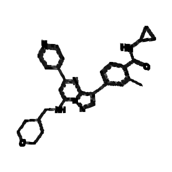 Cc1cc(-c2cnn3c(NCC4CCOCC4)cc(-c4ccncc4)nc23)ccc1C(=O)NC1CC1